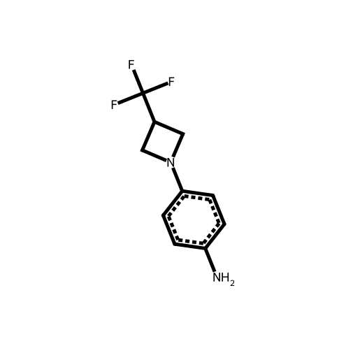 Nc1ccc(N2CC(C(F)(F)F)C2)cc1